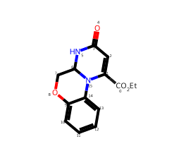 CCOC(=O)C1=CC(=O)NC2COc3ccccc3N12